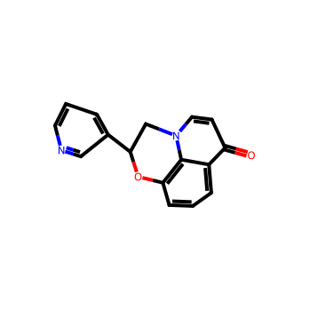 O=c1ccn2c3c(cccc13)OC(c1cccnc1)C2